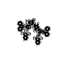 CC(C)(C)[Si](O[C@H]1C[C@H](n2ccc(=O)[nH]c2=O)O[C@@H]1CON1C(=O)c2ccccc2C1=O)(c1ccccc1)c1ccccc1.Cc1cn([C@H]2C[C@H](O[Si](c3ccccc3)(c3ccccc3)C(C)(C)C)[C@@H](CON3C(=O)c4ccccc4C3=O)O2)c(=O)[nH]c1=O